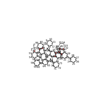 CC(C)(C)c1ccc(-c2ccccc2N2c3cc(N4c5ccc(-c6ccccc6)cc5C5(C)CCCCC45C)cc4c3B3c5c2cccc5C(c2ccccc2)(c2ccccc2)c2cccc(c23)N4c2ccccc2-c2ccc(C(C)(C)C)cc2)cc1